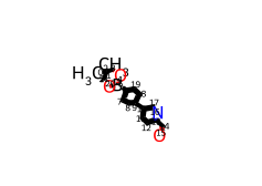 CC1(C)COB(c2ccc(-c3ccc(C=O)nc3)cc2)OC1